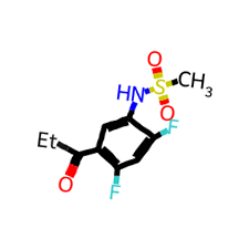 CCC(=O)c1cc(NS(C)(=O)=O)c(F)cc1F